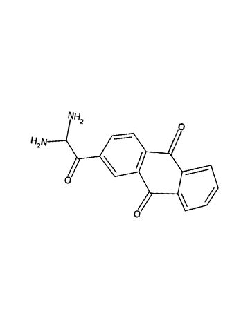 NC(N)C(=O)c1ccc2c(c1)C(=O)c1ccccc1C2=O